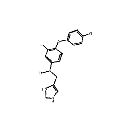 CCN(CC1=CNCN1)c1ccc(Oc2ccc(Cl)cc2)c(Cl)c1